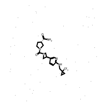 NC(=O)[C@H]1CCN(C(=O)N2CC(c3ccc(NCC4(C(F)(F)F)CC4)nc3)C2)C1